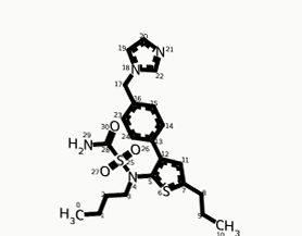 CCCCN(c1sc(CCC)cc1-c1ccc(Cn2ccnc2)cc1)S(=O)(=O)C(N)=O